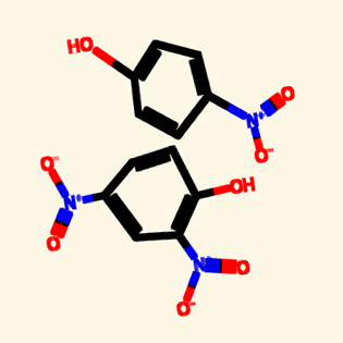 O=[N+]([O-])c1ccc(O)c([N+](=O)[O-])c1.O=[N+]([O-])c1ccc(O)cc1